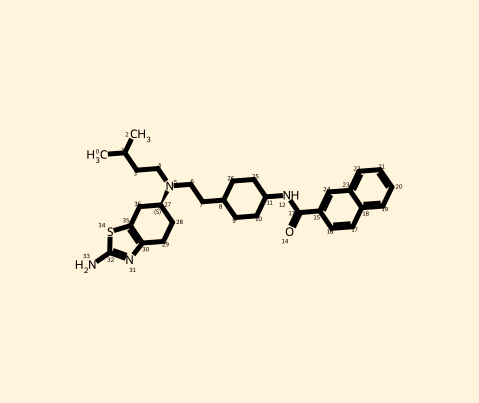 CC(C)CCN(CCC1CCC(NC(=O)c2ccc3ccccc3c2)CC1)[C@H]1CCc2nc(N)sc2C1